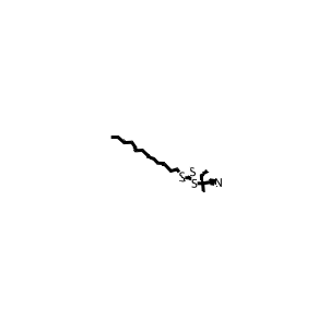 CCCCCCCCCCCCSC(=S)SC(C)(C#N)CC